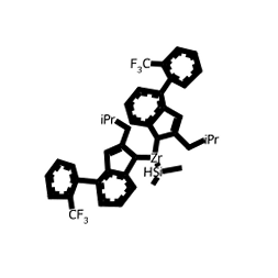 CC(C)CC1=Cc2c(-c3ccccc3C(F)(F)F)cccc2[CH]1[Zr]([CH]1C(CC(C)C)=Cc2c(-c3ccccc3C(F)(F)F)cccc21)[SiH](C)C